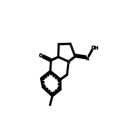 Cc1ccc2c(c1)CN1/C(=N/O)CCC1C2=O